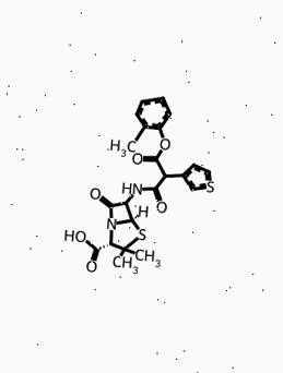 Cc1ccccc1OC(=O)C(C(=O)NC1C(=O)N2[C@@H]1SC(C)(C)[C@@H]2C(=O)O)c1ccsc1